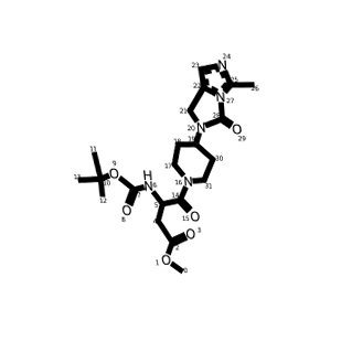 COC(=O)CC(NC(=O)OC(C)(C)C)C(=O)N1CCC(N2Cc3cnc(C)n3C2=O)CC1